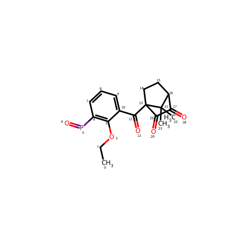 CCOc1c(P=O)cccc1C(=O)C12CCC(C(=O)C1=O)C2(C)C